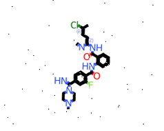 C=N/C(=C\C=C(/C)Cl)NC(=O)c1ccccc1NC(=O)c1ccc(C(=N)N2CCN(C)CC2)cc1F